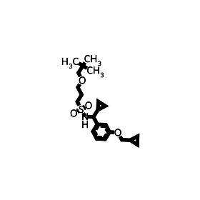 CC(C)(C)COCCCS(=O)(=O)NC(c1cccc(OCC2CC2)c1)C1CC1